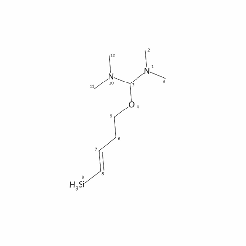 CN(C)C(OCCC=C[SiH3])N(C)C